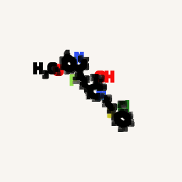 COc1ccc2nccc([C@H](F)CC[C@@H]3CCN(CCCSc4ccccc4Cl)C[C@@H]3CO)c2c1